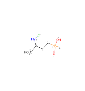 CP(=O)(O)CCC(NCl)C(=O)O